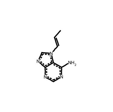 CC=Cn1cnc2ncnc(N)c21